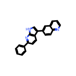 c1ccc(-c2ccc3c(-c4ccc5ncccc5c4)c[nH]c3n2)cc1